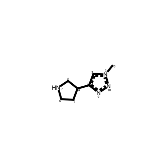 [CH2]n1cc(C2CCNC2)nn1